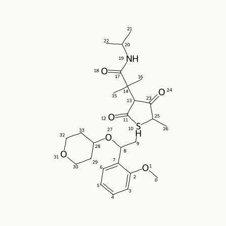 COc1ccccc1C(C[SH]1C(=O)C(C(C)(C)C(=O)NC(C)C)C(=O)C1C)OC1CCOCC1